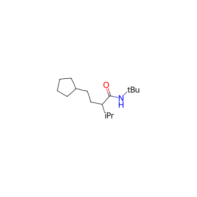 CC(C)C(CCC1CCCC1)C(=O)NC(C)(C)C